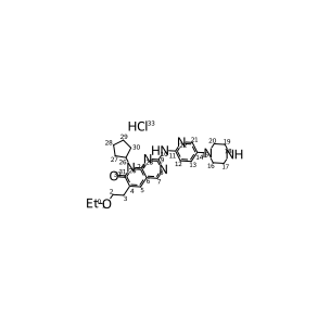 CCOCCc1cc2cnc(Nc3ccc(N4CCNCC4)cn3)nc2n(C2CCCC2)c1=O.Cl